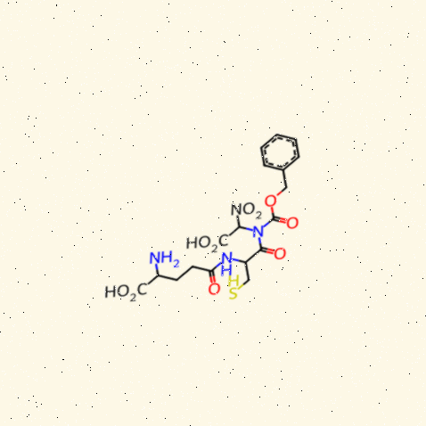 NC(CCC(=O)NC(CS)C(=O)N(C(=O)OCc1ccccc1)C(C(=O)O)[N+](=O)[O-])C(=O)O